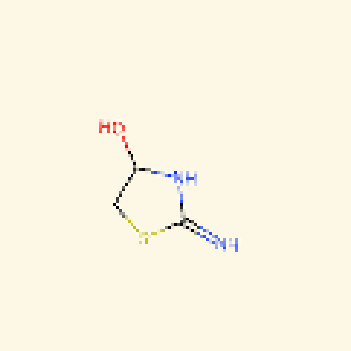 N=C1NC(O)CS1